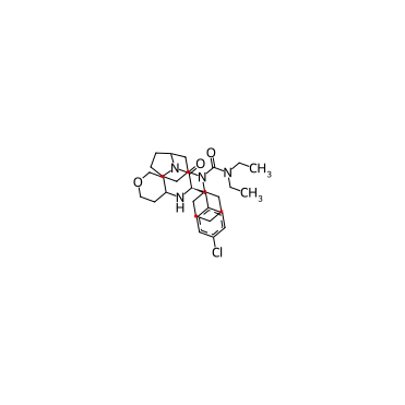 CCN(CC)C(=O)N(C1CCCCC1)C1CC2CCC(C1)N2C(=O)[C@@H](Cc1ccc(Cl)cc1)NC1CCOCC1